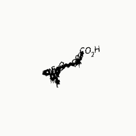 C[C@@H]1Cc2c([nH]c3ccccc23)[C@@H](c2c(F)cc(OCCCCCOCC(F)(F)COCC(=O)O)cc2F)N1CC(C)(C)F